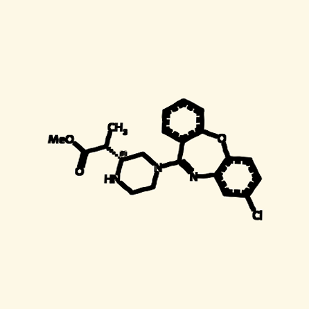 COC(=O)C(C)[C@@H]1CN(C2=Nc3cc(Cl)ccc3Oc3ccccc32)CCN1